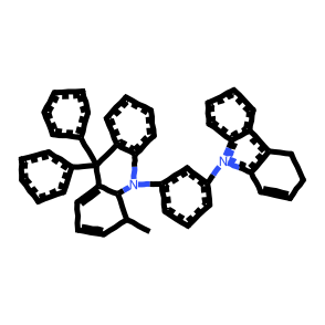 CC1C=CC=C2C1N(c1cccc(-n3c4c(c5ccccc53)CCC=C4)c1)c1ccccc1C2(c1ccccc1)c1ccccc1